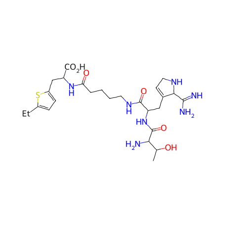 CCc1ccc(CC(NC(=O)CCCCNC(=O)C(CC2=CCNC2C(=N)N)NC(=O)C(N)C(C)O)C(=O)O)s1